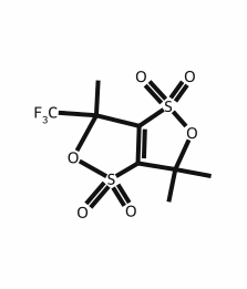 CC1(C)OS(=O)(=O)C2=C1S(=O)(=O)OC2(C)C(F)(F)F